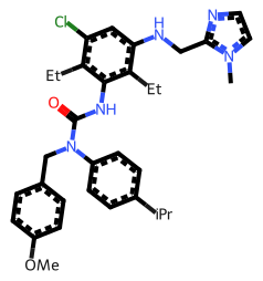 CCc1c(Cl)cc(NCc2nccn2C)c(CC)c1NC(=O)N(Cc1ccc(OC)cc1)c1ccc(C(C)C)cc1